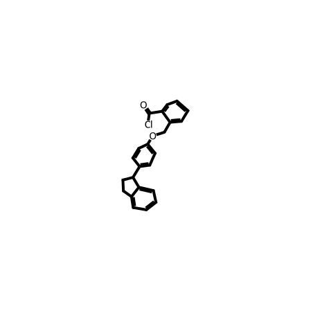 O=C(Cl)c1ccccc1COc1ccc(C2CCc3ccccc32)cc1